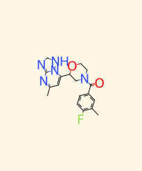 CC1=NC2=NCNN2C(C2CN(C(=O)c3ccc(F)c(C)c3)CCO2)=C1